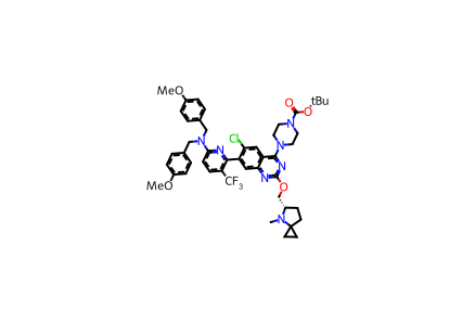 COc1ccc(CN(Cc2ccc(OC)cc2)c2ccc(C(F)(F)F)c(-c3cc4nc(OC[C@@H]5CCC6(CC6)N5C)nc(N5CCN(C(=O)OC(C)(C)C)CC5)c4cc3Cl)n2)cc1